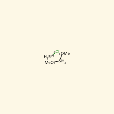 CO[SiH2]OC.[SiH3]Cl